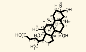 C[C@H](CCC(=O)O)[C@H]1CC[C@H]2[C@@H]3[C@H](O)C[C@@H]4C[C@](N)(O)CC[C@]4(C)[C@H]3C[C@H](O)[C@]12C